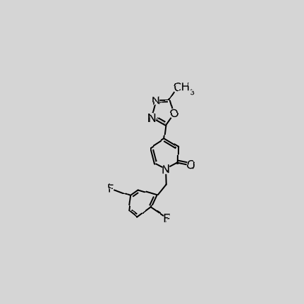 Cc1nnc(-c2ccn(Cc3cc(F)ccc3F)c(=O)c2)o1